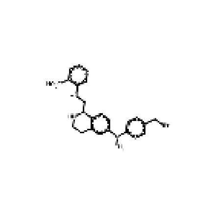 CC(C)Cc1ccc(N(C)c2ccc3c(c2)CCNC3CNc2cnccc2C(=O)O)cc1